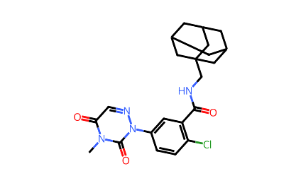 Cn1c(=O)cnn(-c2ccc(Cl)c(C(=O)NCC34CC5CC(CC(C5)C3)C4)c2)c1=O